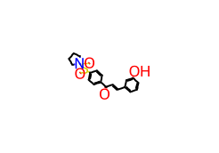 O=C(C=Cc1cccc(O)c1)c1ccc(S(=O)(=O)N2CCCC2)cc1